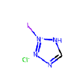 I[n+]1nnc[nH]1.[Cl-]